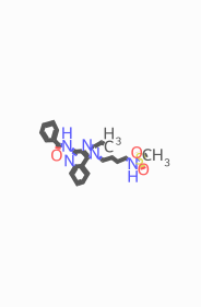 CCc1nc2c(NC(=O)c3ccccc3)nc3ccccc3c2n1CCCCNS(C)(=O)=O